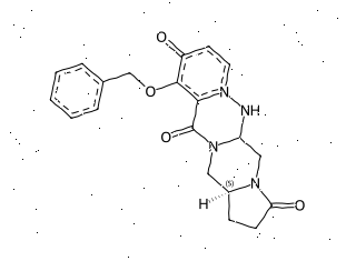 O=C1c2c(OCc3ccccc3)c(=O)ccn2NC2CN3C(=O)CC[C@H]3CN12